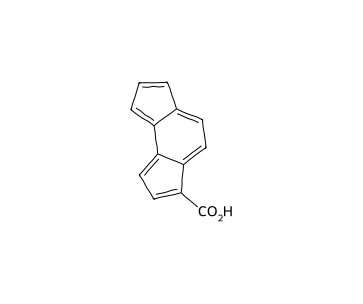 O=C(O)C1=CC=c2c1ccc1c2=CC=C1